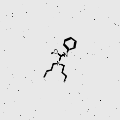 CCCCN(CCCC)C(=Nc1ccccc1)OC